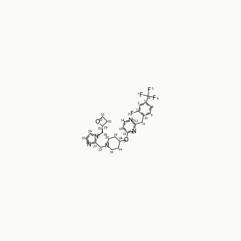 Fc1cc(C(F)(F)F)ccc1Cc1nccc(OC2CCN(Cc3nccn3C[C@@H]3CCO3)CC2)n1